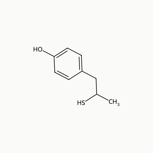 CC(S)Cc1ccc(O)cc1